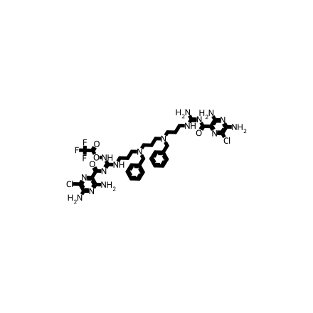 NC(=NC(=O)c1nc(Cl)c(N)nc1N)NCCCN(CCCN(CCCNC(=NC(=O)c1nc(Cl)c(N)nc1N)NOC(=O)C(F)(F)F)Cc1ccccc1)Cc1ccccc1